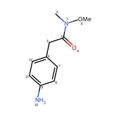 CON(C)C(=O)Cc1ccc(N)cc1